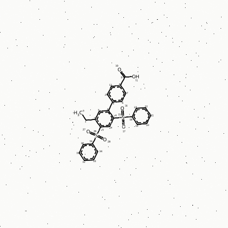 CCc1cc(-c2ccc(C(=O)O)cc2)c(S(=O)(=O)c2ccccc2)cc1S(=O)(=O)c1ccccc1